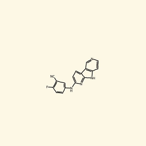 N#Cc1cc(Nc2ccc3c(n2)[nH]c2ccncc23)ccc1F